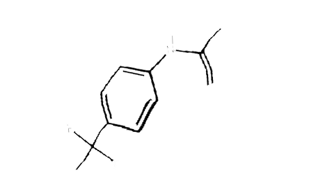 C=C(C)Nc1ccc(C(C)(F)F)cc1